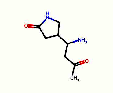 CC(=O)CC(N)C1CNC(=O)C1